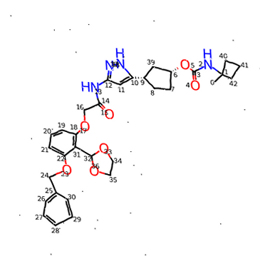 CC1(NC(=O)O[C@@H]2CC[C@H](c3cc(NC(=O)COc4cccc(OCc5ccccc5)c4C4OCCO4)n[nH]3)C2)CCC1